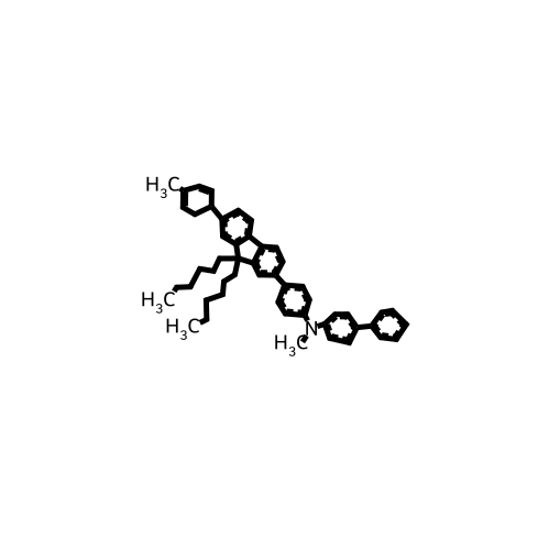 CCCCCCC1(CCCCCC)c2cc(-c3ccc(N(C)c4ccc(-c5ccccc5)cc4)cc3)ccc2-c2ccc(C3C=CC(C)=CC3)cc21